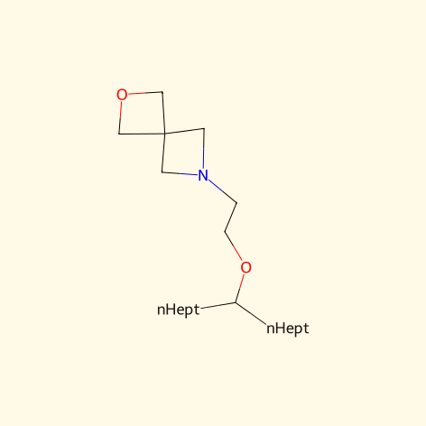 CCCCCCCC(CCCCCCC)OCCN1CC2(COC2)C1